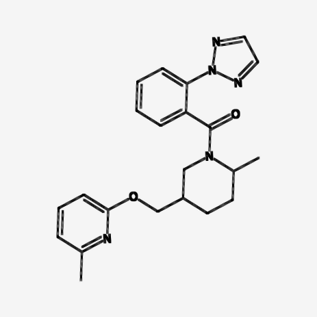 Cc1cccc(OCC2CCC(C)N(C(=O)c3ccccc3-n3nccn3)C2)n1